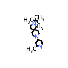 Cc1cc(N2CCC3(CC2)CCN(C(C)(C)C)C3)ccn1